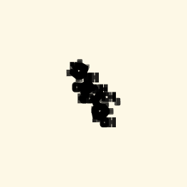 C[C@H](Nc1c(Nc2ccncc2)c(=O)c1=O)[C@@H](O)c1ccc(O)cc1